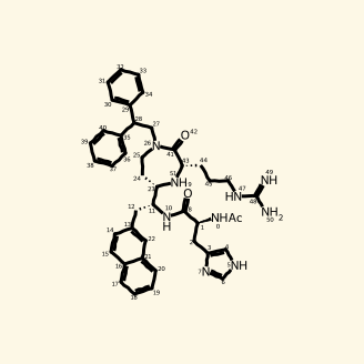 CC(=O)N[C@@H](Cc1c[nH]cn1)C(=O)N[C@H](Cc1ccc2ccccc2c1)[C@@H]1CCN(CC(c2ccccc2)c2ccccc2)C(=O)[C@H](CCCNC(=N)N)N1